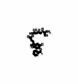 C[C@@H](Oc1cc2onc(CCC(=O)ON[C@@H](CCCNC(=N)N)C(=O)O)c2cc1Cl)c1ccccn1